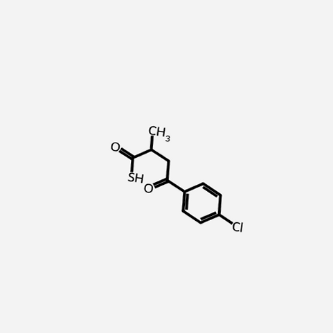 CC(CC(=O)c1ccc(Cl)cc1)C(=O)S